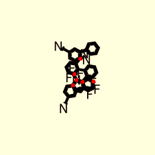 N#Cc1ccc2c(c1)c1ccccc1n2-c1cccc(C#N)c1-c1c(-c2c(C(F)(F)F)cccc2C(F)(F)F)cccc1-n1c2ccccc2c2cc(C#N)ccc21